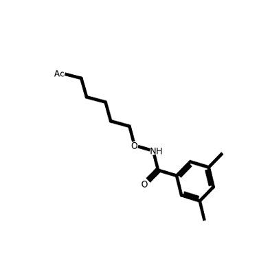 CC(=O)CCCCCONC(=O)c1cc(C)cc(C)c1